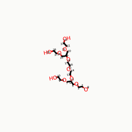 COCCOCC(COCCO)OCCOCCOC(COCCO)COCCO